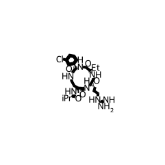 CC[C@@H]1NC(=O)[C@H](CCCNC(=N)N)NC(=O)[C@](C)(NC(=O)C(C)C)CCNC(=O)[C@@H](c2cccc(Cl)c2)NC1=O